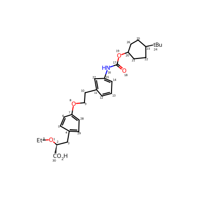 CCO[C@@H](Cc1ccc(OCCc2cccc(NC(=O)OC3CCC(C(C)(C)C)CC3)c2)cc1)C(=O)O